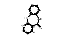 S=C1Nc2ccccc2Nc2ncccc21